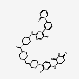 O=C1CCC(Nc2ccc(N3CCN(CC4CCN(C(=O)[C@H]5CC[C@H](Nc6ncc(F)c(-c7cccc(-n8ccccc8=O)c7)n6)CC5)CC4)CC3)c(F)c2)C(=O)N1